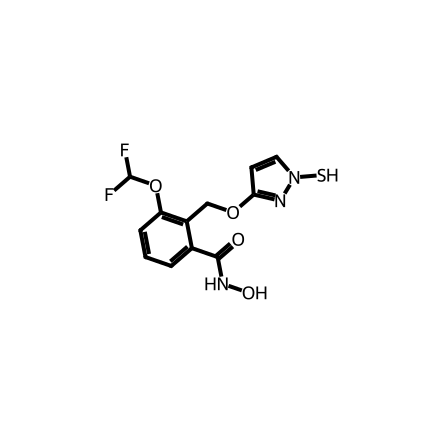 O=C(NO)c1cccc(OC(F)F)c1COc1ccn(S)n1